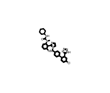 CCCCc1cccc(N(C)C(=O)NC2CCCCC2)c1-c1nccn1Cc1ccc(-c2ccc(Cl)cc2-c2nnn[nH]2)cc1